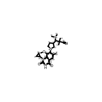 COc1c(N2CCC(C(N(C)C)C(C)(C)C#N)C2)c(F)cc2c(=O)[nH]c(=O)n(C3CC3)c12